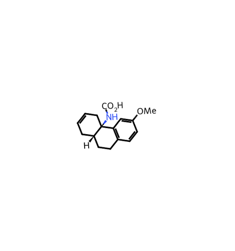 COc1ccc2c(c1)[C@@]1(NC(=O)O)CC=CC[C@H]1CC2